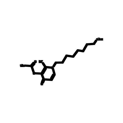 CCCCCCCCCCCCCCCCCCn1ccc(=O)c(OC(=O)C(C)(C)C)c1C#N